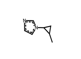 C[C]1CC1n1ccnc1